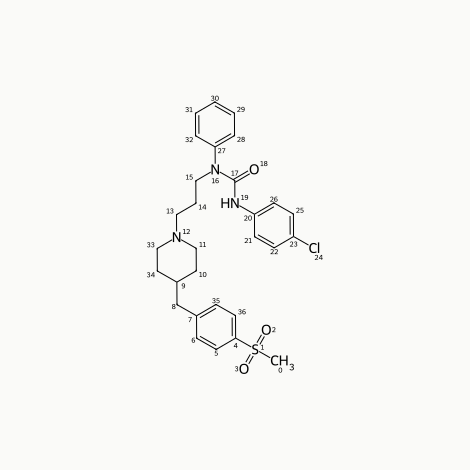 CS(=O)(=O)c1ccc(CC2CCN(CCCN(C(=O)Nc3ccc(Cl)cc3)c3ccccc3)CC2)cc1